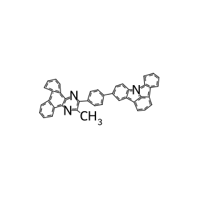 Cc1nc2c3ccccc3c3ccccc3c2nc1-c1ccc(-c2ccc3c(c2)c2cccc4c5ccccc5n3c42)cc1